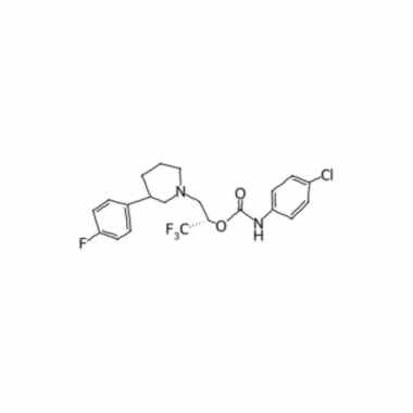 O=C(Nc1ccc(Cl)cc1)O[C@@H](CN1CCCC(c2ccc(F)cc2)C1)C(F)(F)F